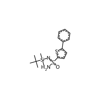 CC(C)(C)[Si](C)(C)N=S(N)(=O)c1ccc(-c2ccccc2)s1